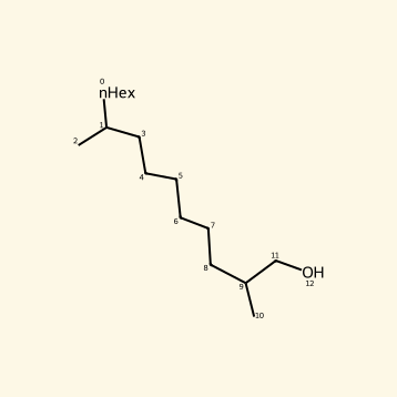 CCCCCCC(C)CCCCCCC(C)CO